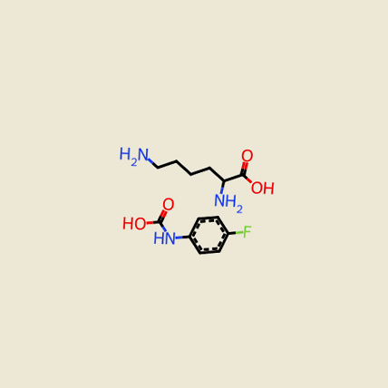 NCCCCC(N)C(=O)O.O=C(O)Nc1ccc(F)cc1